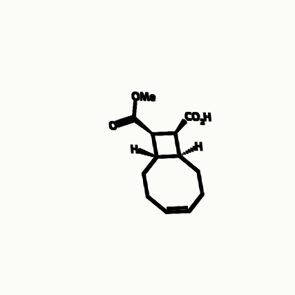 COC(=O)[C@@H]1[C@H]2CC/C=C\CC[C@@H]2[C@@H]1C(=O)O